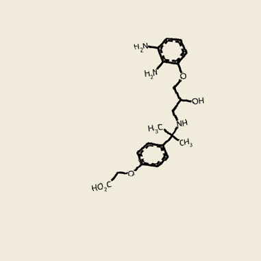 CC(C)(NCC(O)COc1cccc(N)c1N)c1ccc(OCC(=O)O)cc1